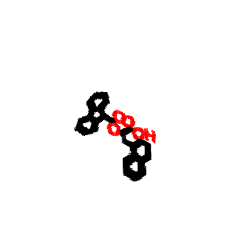 O=C(O[C@H](Cc1cccc2ccccc12)C(=O)O)C1c2ccccc2-c2ccccc21